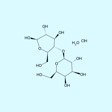 Cl.O.OC[C@H]1O[C@@H](O[C@H]2[C@H](O)[C@@H](O)[C@H](O)O[C@@H]2CO)[C@H](O)[C@@H](O)[C@H]1O